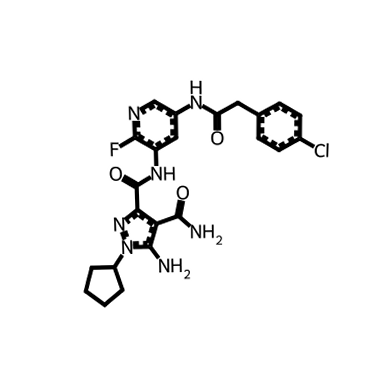 NC(=O)c1c(C(=O)Nc2cc(NC(=O)Cc3ccc(Cl)cc3)cnc2F)nn(C2CCCC2)c1N